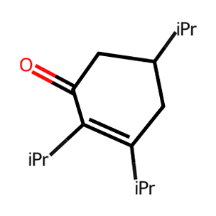 CC(C)C1=C(C(C)C)C(=O)CC(C(C)C)C1